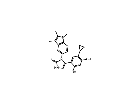 Cc1c(C)n(C)c2ccc(-n3c(-c4cc(C5CC5)c(O)cc4O)c[nH]c3=S)cc12